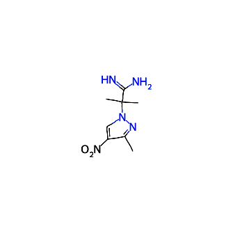 Cc1nn(C(C)(C)C(=N)N)cc1[N+](=O)[O-]